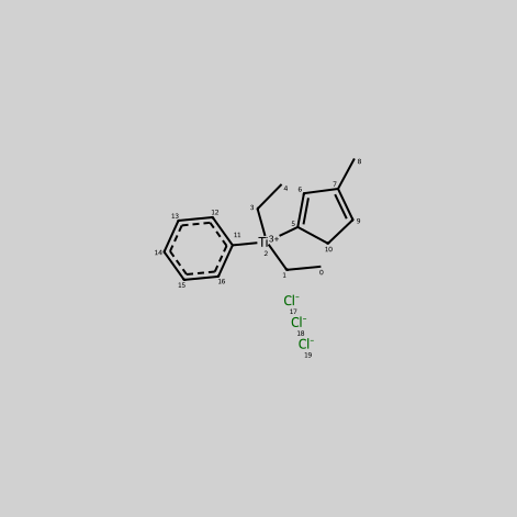 C[CH2][Ti+3]([CH2]C)([C]1=CC(C)=CC1)[c]1ccccc1.[Cl-].[Cl-].[Cl-]